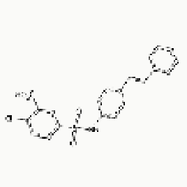 O=C(O)c1cc(S(=O)(=O)Nc2ccc(C=Cc3ccccc3)cc2)ccc1Cl